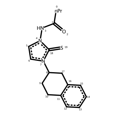 CCCC(=O)Nn1ccn(C2CCc3ccccc3C2)c1=S